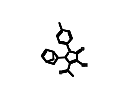 CC(=O)C1=C(O)C(=O)N(c2ccc(C)cc2)C1C1CC2C=CC1C2